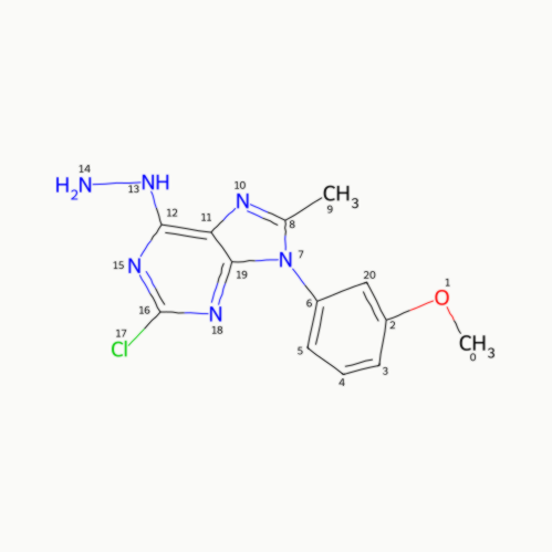 COc1cccc(-n2c(C)nc3c(NN)nc(Cl)nc32)c1